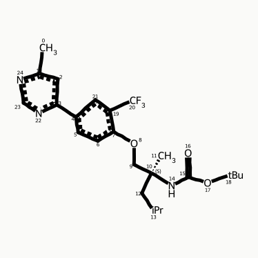 Cc1cc(-c2ccc(OC[C@](C)(CC(C)C)NC(=O)OC(C)(C)C)c(C(F)(F)F)c2)ncn1